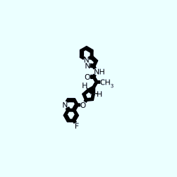 CC(C(=O)Nc1cc2ccccn2n1)C1[C@H]2CC(Oc3ccnc4ccc(F)cc34)C[C@@H]12